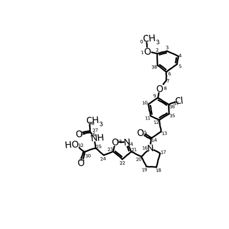 COc1cccc(COc2ccc(CC(=O)N3CCCC3c3cc(CC(NC(C)=O)C(=O)O)on3)cc2Cl)c1